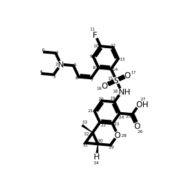 CCN(CC)C/C=C\c1cc(F)ccc1S(=O)(=O)Nc1ccc2c(c1C(=O)O)OC[C@@H]1C[C@]21C